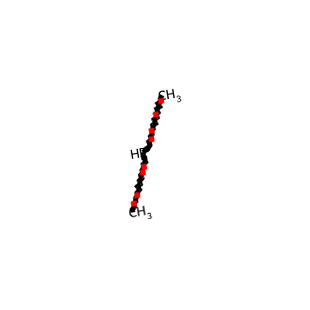 CCCCCCCCCCCCCCCCCCCC#CPC#CCCCCCCCCCCCCCCCCCCC